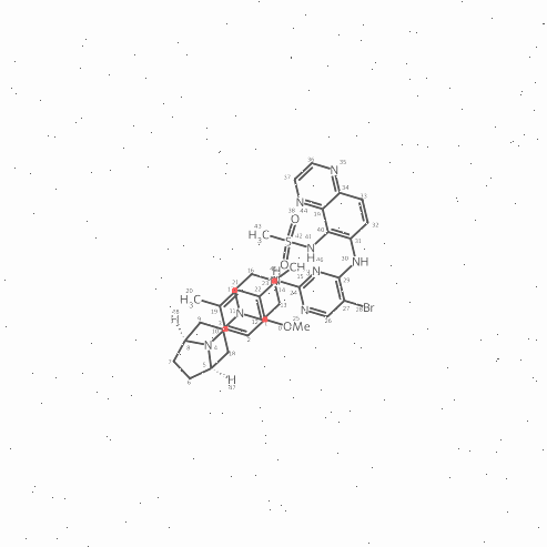 COc1cc(N2[C@@H]3CC[C@H]2CC(N2CCN(C)CC2)C3)c(C)cc1Nc1ncc(Br)c(Nc2ccc3nccnc3c2NS(C)(=O)=O)n1